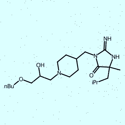 CCCCOCC(O)CN1CCC(CN2C(=N)NC(C)(CC(C)C)C2=O)CC1